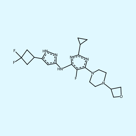 Fc1c(Nc2cc(C3CC(F)(F)C3)[nH]n2)nc(C2CC2)nc1N1CCN(C2COC2)CC1